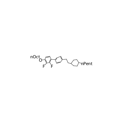 CCCCCCCCOc1ccc(-c2ccc(CCC3CCC(CCCCC)CC3)cc2)c(F)c1F